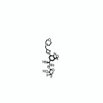 N=C(NOC(=O)C(O)C(F)(F)F)c1cc(N2CC(CN3CCOCC3)C2)c2nonc2c1